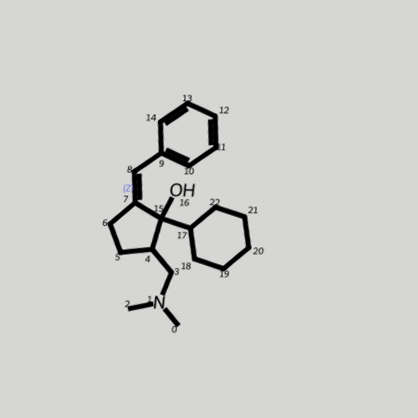 CN(C)CC1CC/C(=C/c2ccccc2)C1(O)C1CCCCC1